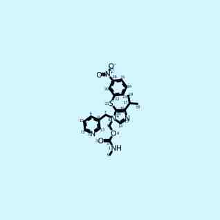 CNC(=O)OC[N+]1(Cc2cccnc2)C=NC(C(C)C)=C1Sc1cccc([N+](=O)[O-])c1